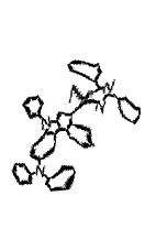 C1=CCC(c2nc(-c3ccccc3)nc(-c3cc4c(c5ccccc35)c3cc(N(c5ccccc5)c5ccccc5)ccc3n4-c3ccccc3)n2)C=C1